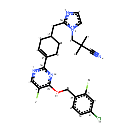 CC(C)(C#N)Cn1ccnc1CC1CC=C(c2ncc(F)c(OCc3ccc(Cl)cc3F)n2)CC1